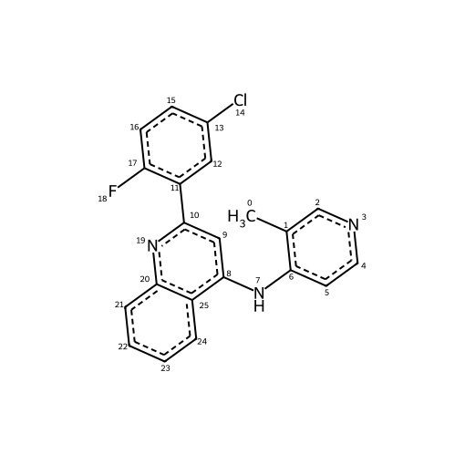 Cc1cnccc1Nc1cc(-c2cc(Cl)ccc2F)nc2ccccc12